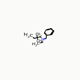 CCN(Cc1ccccc1)CC(C)(C)CC